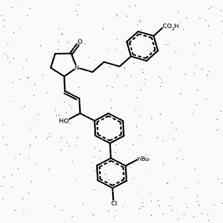 CCCCc1cc(Cl)ccc1-c1cccc(C(O)/C=C/C2CCC(=O)N2CCCc2ccc(C(=O)O)cc2)c1